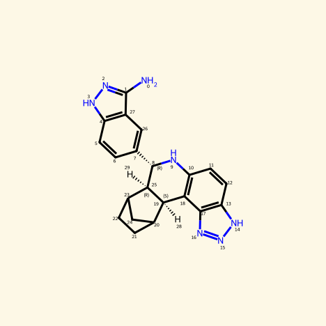 Nc1n[nH]c2ccc([C@@H]3Nc4ccc5[nH]nnc5c4[C@H]4C5CCC(C5)[C@@H]34)cc12